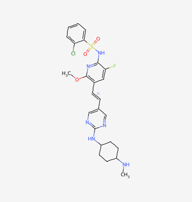 CNC1CCC(Nc2ncc(/C=C/c3cc(F)c(NS(=O)(=O)c4ccccc4Cl)nc3OC)cn2)CC1